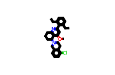 CCc1cccc(CC)c1-c1cc(OC)c2c(n1)CCCC2N1CCc2c(Cl)cccc2C1